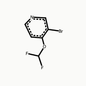 FC(F)Oc1ccncc1Br